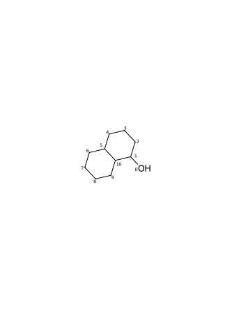 OC1CCCC2CCCCC12